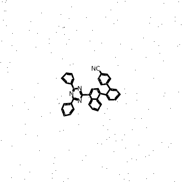 N#Cc1ccc(-c2ccccc2-c2ccc(-c3nc(-c4ccccc4)nc(-c4ccccc4)n3)c3ccccc23)cc1